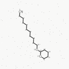 N#CCCCCCCCCCCOC1CCCCO1